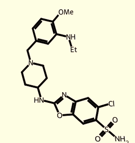 CCNc1cc(CN2CCC(Nc3nc4cc(Cl)c(S(N)(=O)=O)cc4o3)CC2)ccc1OC